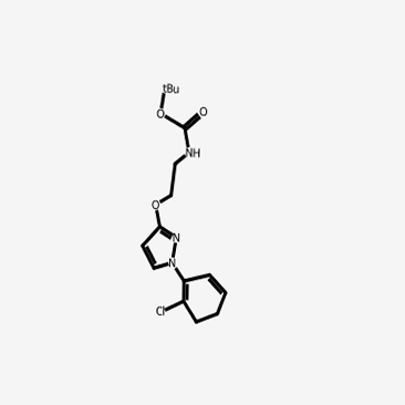 CC(C)(C)OC(=O)NCCOc1ccn(C2=C(Cl)CCC=C2)n1